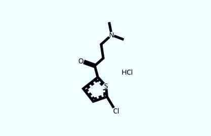 CN(C)CCC(=O)c1ccc(Cl)s1.Cl